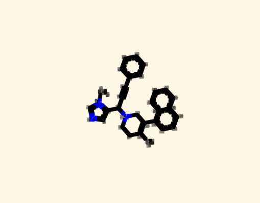 Cn1cncc1C(C#Cc1ccccc1)N1CCC(C#N)=C(c2cccc3ccccc23)C1